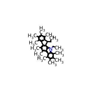 CCC1c2c(C)c(C)c(C)c(C)c2-c2c(C)c(C)c3c4c(C)c(C)c(C)c(C)c4n(CC)c3c21